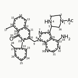 CC(=O)N1CCNC(c2nn(Cc3cc4cccc(C)c4c(=O)n3-c3ccccc3C)c3ncnc(N)c23)C1